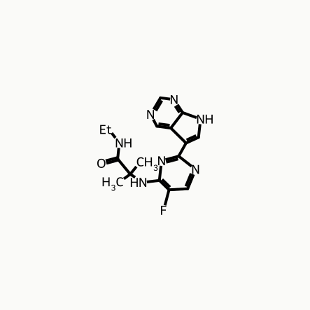 CCNC(=O)C(C)(C)Nc1nc(-c2c[nH]c3ncncc23)ncc1F